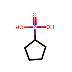 O=P(O)(O)C1CCCC1